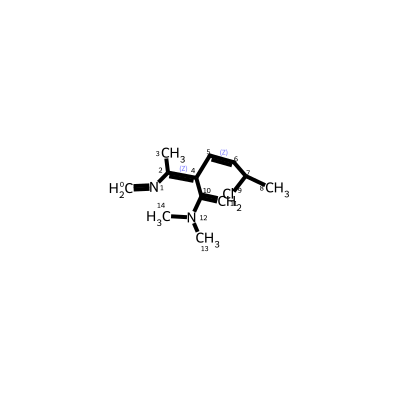 C=N/C(C)=C(/C=C\C(C)Cl)C(=C)N(C)C